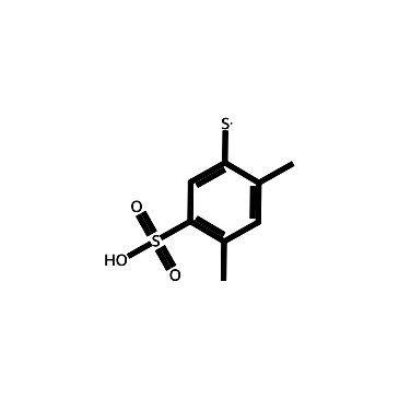 Cc1cc(C)c(S(=O)(=O)O)cc1[S]